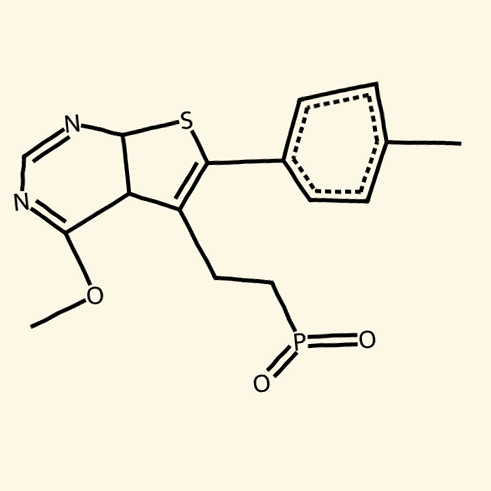 COC1=NC=NC2SC(c3ccc(C)cc3)=C(CCP(=O)=O)C12